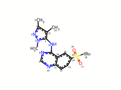 Cc1nn(C)c(Nc2ncnc3ccc(S(=O)(=O)C(C)(C)C)cc23)c1C